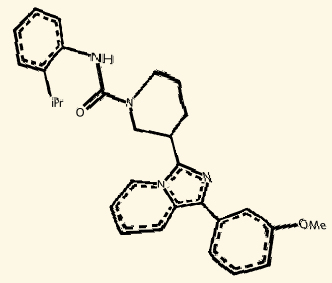 COc1cccc(-c2nc(C3CCCN(C(=O)Nc4ccccc4C(C)C)C3)n3ccccc23)c1